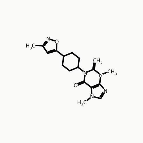 C=C1N(C)c2ncn(C)c2C(=O)N1C1CCC(c2cc(C)no2)CC1